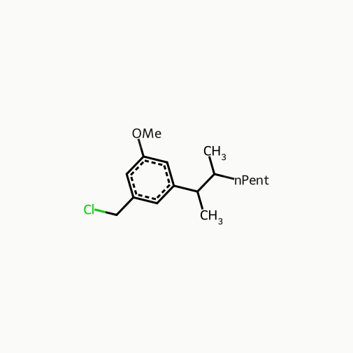 CCCCCC(C)C(C)c1cc(CCl)cc(OC)c1